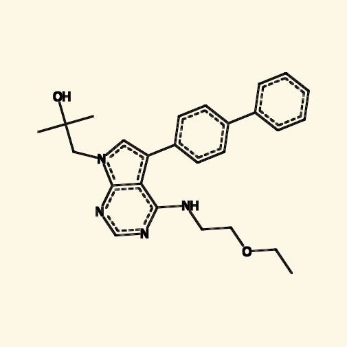 CCOCCNc1ncnc2c1c(-c1ccc(-c3ccccc3)cc1)cn2CC(C)(C)O